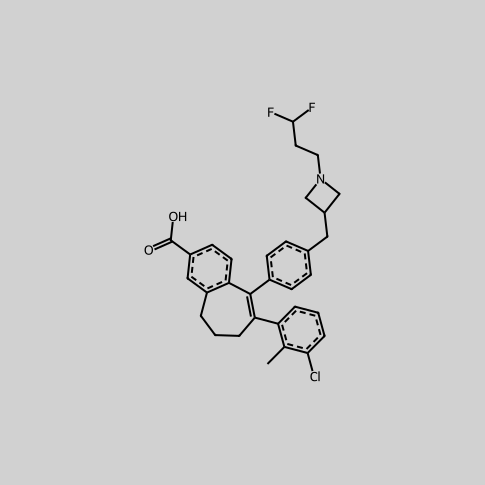 Cc1c(Cl)cccc1C1=C(c2ccc(CC3CN(CCC(F)F)C3)cc2)c2ccc(C(=O)O)cc2CCC1